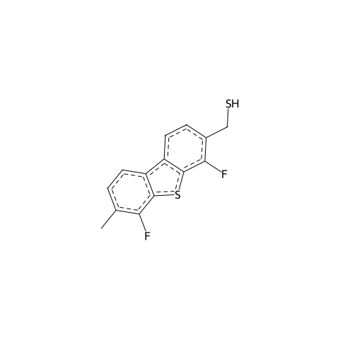 Cc1ccc2c(sc3c(F)c(CS)ccc32)c1F